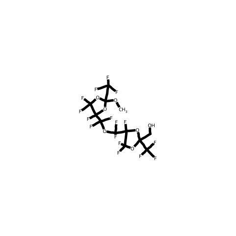 COC1(C(F)(F)F)OC(F)(F)C(F)(C(F)(F)OC(F)(F)C2(F)OC(CO)(C(F)(F)F)OC2(F)F)O1